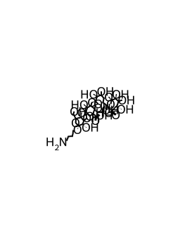 NCCCCO[C@@H]1OC(CO)[C@@H](O[C@@H]2OC(C(=O)O)[C@@H](O)C(O[C@@H]3OC(CO)[C@@H](O[C@@H]4OC(C(=O)O)[C@@H](O)C(O)[C@@H]4O)C(O)[C@@H]3O)[C@@H]2O)C(O)[C@@H]1O